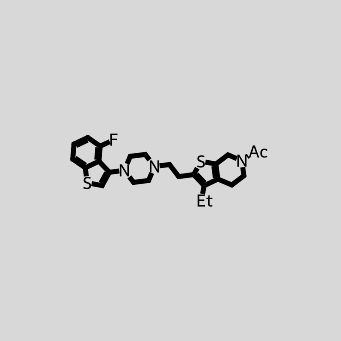 CCc1c(CCN2CCN(c3csc4cccc(F)c34)CC2)sc2c1CCN(C(C)=O)C2